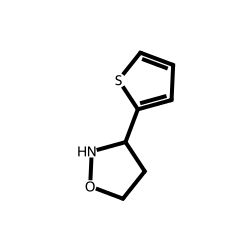 c1csc(C2CCON2)c1